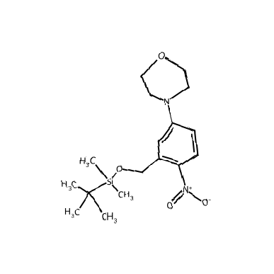 CC(C)(C)[Si](C)(C)OCc1cc(N2CCOCC2)ccc1[N+](=O)[O-]